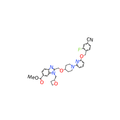 COC(=O)c1ccc2nc(COC3CCN(c4cccc(OCc5ccc(C#N)cc5F)n4)CC3)n(C[C@@H]3CCO3)c2c1